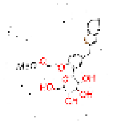 COOCCOc1ccc(Cc2cc3ccccc3s2)cc1[C@@H]1O[C@H](CO)[C@@H](O)[C@H](O)[C@H]1O